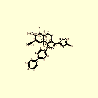 Cc1noc(-c2nn(-c3ccc(-c4ccccc4)cc3)c3c2CC[C@@H]2[C@@H](C)C(O)C(C#N)=C[C@@]32C)n1